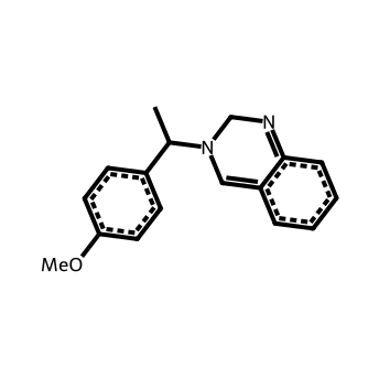 COc1ccc(C(C)N2C=c3ccccc3=NC2)cc1